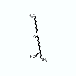 CCCCCCCCCOC(=O)CCCCCCCN(CCN)CCO